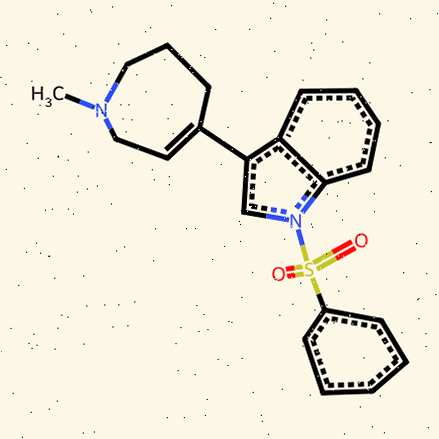 CN1CC=C(c2cn(S(=O)(=O)c3ccccc3)c3ccccc23)CCC1